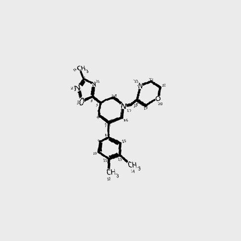 Cc1noc(C2CC(c3ccc(C)c(C)c3)CN(C3COCC[N]3)C2)n1